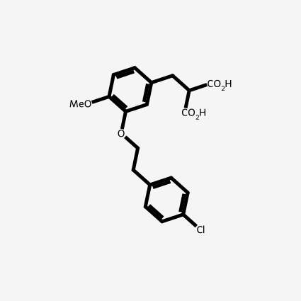 COc1ccc(CC(C(=O)O)C(=O)O)cc1OCCc1ccc(Cl)cc1